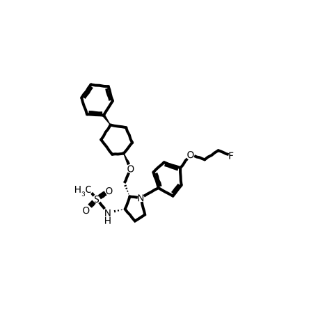 CS(=O)(=O)N[C@H]1CCN(c2ccc(OCCF)cc2)[C@H]1CO[C@H]1CC[C@@H](c2ccccc2)CC1